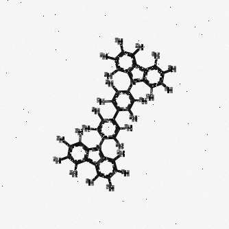 [2H]c1c([2H])c(-n2c3c([2H])c([2H])c([2H])c([2H])c3c3c([2H])c([2H])c([2H])c([2H])c32)c([2H])c([2H])c1-c1c([2H])c([2H])c(-n2c3c([2H])c([2H])c([2H])c([2H])c3c3c([2H])c([2H])c([2H])c([2H])c32)c([2H])c1[2H]